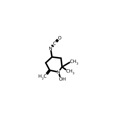 C=C1CC(N=C=O)CC(C)(C)N1O